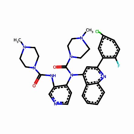 CN1CCN(C(=O)Nc2cnccc2N(C(=O)N2CCN(C)CC2)c2cc(-c3cc(Cl)ccc3F)nc3ccccc23)CC1